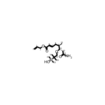 C=CCOC(=O)/C=C/C[C@@H](C)[C@H](CC(N)=O)OCC(C)(C)[Si](C)(C)O